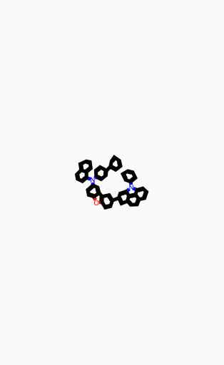 c1ccc(-c2ccc(N(c3ccc4oc5ccc(-c6cc7ccc8cccc9c8c7c(c6)n9-c6ccccc6)cc5c4c3)c3cccc4ccccc34)cc2)cc1